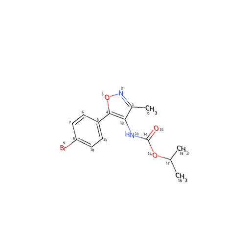 Cc1noc(-c2ccc(Br)cc2)c1NC(=O)OC(C)C